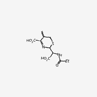 C=C1CSC(C(NC(=O)CC)C(=O)O)N=C1C(=O)O